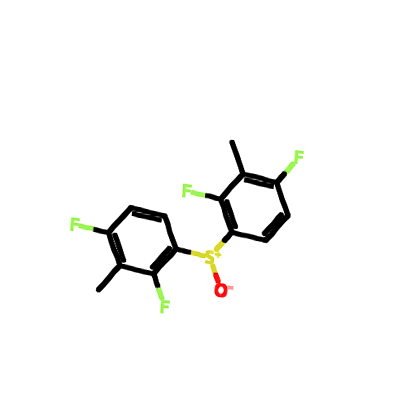 Cc1c(F)ccc([S+]([O-])c2ccc(F)c(C)c2F)c1F